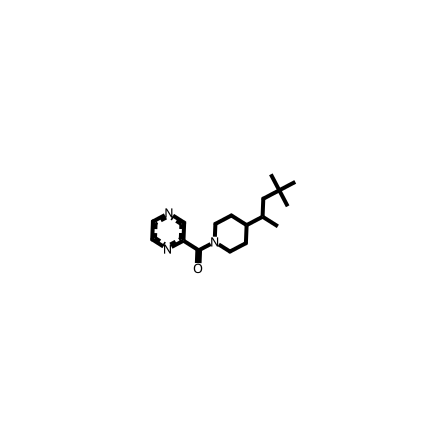 CC(CC(C)(C)C)C1CCN(C(=O)c2cnccn2)CC1